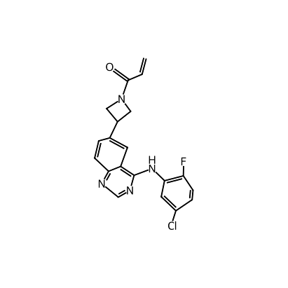 C=CC(=O)N1CC(c2ccc3ncnc(Nc4cc(Cl)ccc4F)c3c2)C1